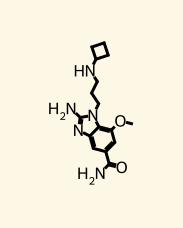 COc1cc(C(N)=O)cc2nc(N)n(CCCNC3CCC3)c12